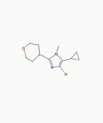 Cn1c(C2CCOCC2)nc(Br)c1C1CC1